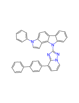 c1ccc(-c2ccc(-c3cccn4nc(-n5c6ccccc6c6ccc7c(ccn7-c7ccccc7)c65)nc34)cc2)cc1